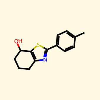 Cc1ccc(-c2nc3c(s2)C(O)CCC3)cc1